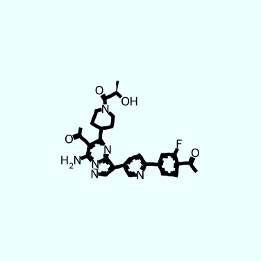 CC(=O)c1ccc(-c2ccc(-c3cnn4c(N)c(C(C)=O)c(C5CCN(C(=O)[C@@H](C)O)CC5)nc34)cn2)cc1F